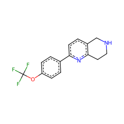 FC(F)(F)Oc1ccc(-c2ccc3c(n2)CCNC3)cc1